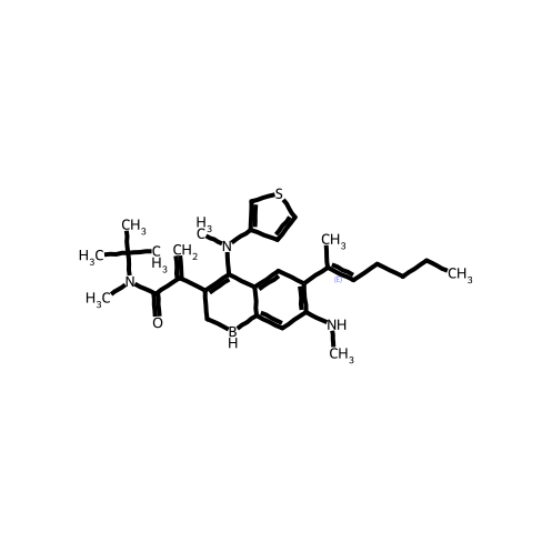 C=C(C(=O)N(C)C(C)(C)C)C1=C(N(C)c2ccsc2)c2cc(/C(C)=C/CCCC)c(NC)cc2BC1